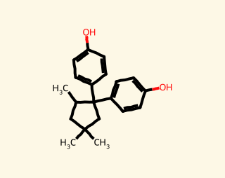 CC1CC(C)(C)CC1(c1ccc(O)cc1)c1ccc(O)cc1